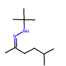 CC(CCC(C)C)=NNC(C)(C)C